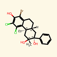 CC[C@@]12C[C@@](C)(O)[C@](O)(c3ccccc3)C[C@H]1CCc1c(Br)c(O)c(Cl)c(Cl)c12